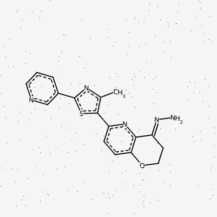 Cc1nc(-c2cccnc2)sc1-c1ccc2c(n1)/C(=N/N)CCO2